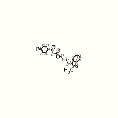 Cc1nc2cnccc2n1CCCCOC(=O)CC(=O)c1ccc(F)cc1